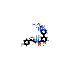 C[C@@H](c1ccc(F)cc1)C(F)(F)CNC(=O)c1c(Cl)ccc(-c2ccn3nc(N)nc3c2)c1F